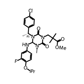 COC(=O)C(C)(C)CN1C(=O)N(I)C(Nc2ccc(OC(C)C)c(F)c2)N([C@H](C)c2ccc(Cl)cc2)C1=O